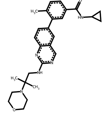 Cc1ccc(C(=O)NC2CC2)cc1-c1ccc2nc(NCC(C)(C)N3CCOCC3)ncc2c1